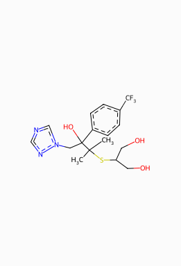 CC(C)(SC(CO)CO)C(O)(Cn1cncn1)c1ccc(C(F)(F)F)cc1